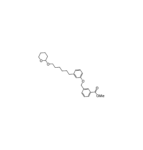 COC(=O)c1cccc(COc2cccc(CCCCCCOC3CCCCO3)c2)c1